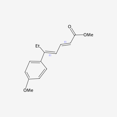 CC/C(=C\C=C\C(=O)OC)c1ccc(OC)cc1